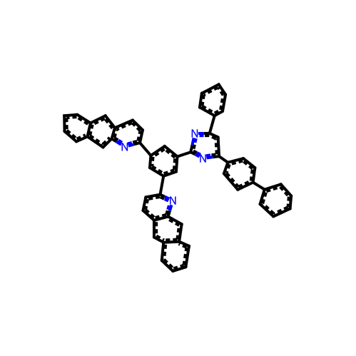 c1ccc(-c2ccc(-c3cc(-c4ccccc4)nc(-c4cc(-c5ccc6cc7ccccc7cc6n5)cc(-c5ccc6cc7ccccc7cc6n5)c4)n3)cc2)cc1